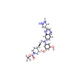 COc1cc(OC)cc(N(CC#CC2CCN(C(=O)OC(C)(C)C)CC2)c2ccc3ncc(C4CNN(C)C4)nc3c2)c1